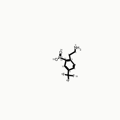 NCCc1ccc(C(F)(F)F)cc1[N+](=O)[O-]